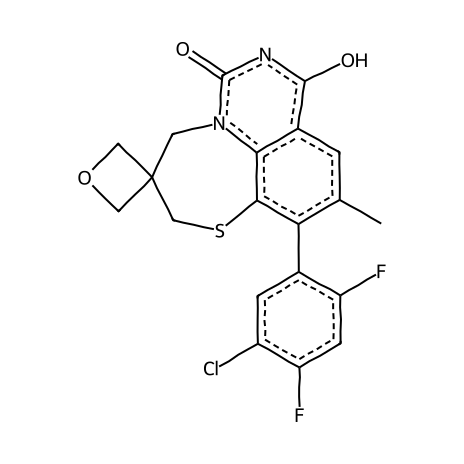 Cc1cc2c(O)nc(=O)n3c2c(c1-c1cc(Cl)c(F)cc1F)SCC1(COC1)C3